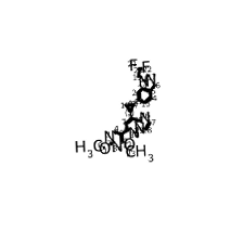 COc1ncc(-c2cc([C@H]3C[C@@H]3c3ccc4cnn(CC(F)F)c4c3)c3nccn3n2)c(OC)n1